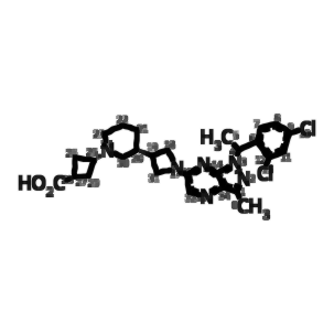 Cc1nn(C(C)c2ccc(Cl)cc2Cl)c2nc(N3CC([C@@H]4CCCN([C@H]5C[C@H](C(=O)O)C5)C4)C3)cnc12